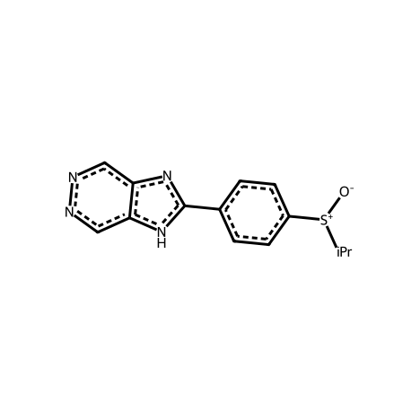 CC(C)[S+]([O-])c1ccc(-c2nc3cnncc3[nH]2)cc1